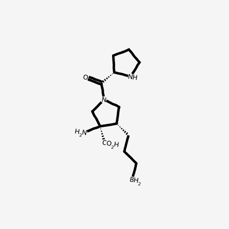 BCCC[C@H]1CN(C(=O)[C@@H]2CCCN2)C[C@@]1(N)C(=O)O